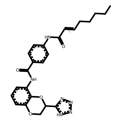 CCCCC/C=C/C(=O)Nc1ccc(C(=O)Nc2cccc3c2OC(c2nnn[nH]2)CO3)cc1